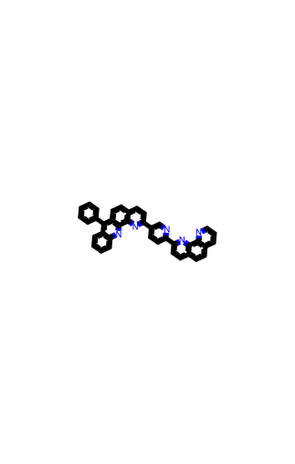 c1ccc(-c2c3ccccc3nc3c2ccc2ccc(-c4ccc(-c5ccc6ccc7cccnc7c6n5)nc4)nc23)cc1